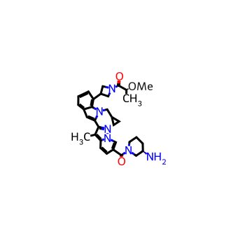 CO[C@H](C)C(=O)N1CC(c2cccc3cc(-c4nn5cc(C(=O)N6CCC[C@@H](N)C6)ccc5c4C)n(CC4CC4)c23)C1